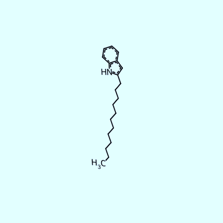 CCCCCCCCCCCCc1cc2ccccc2[nH]1